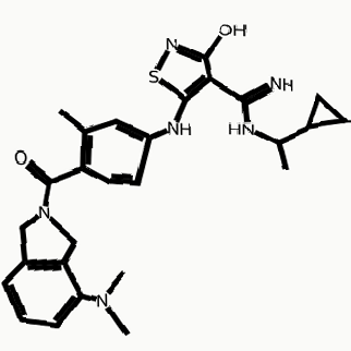 Cc1cc(Nc2snc(O)c2C(=N)NC(C)C2CC2)ccc1C(=O)N1Cc2cccc(N(C)C)c2C1